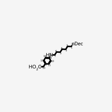 CCCCCCCCCCCCCCCCCNc1ccc(CC(=O)O)cc1